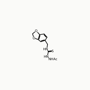 CC(=O)NNC(=S)NCc1ccc2c(c1)OCO2